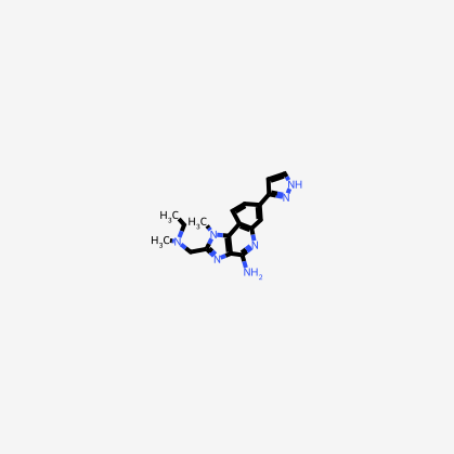 CCN(C)Cc1nc2c(N)nc3cc(-c4cc[nH]n4)ccc3c2n1C